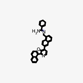 N/C(=N\Cc1cccc2cc(-c3ccnc4c3oc3ccc5ccccc5c34)ccc12)C1=CCCC=C1